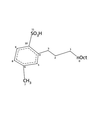 CCCCCCCCCCCc1cc(C)ccc1S(=O)(=O)O